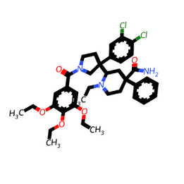 CCOc1cc(C(=O)N2CCC(c3ccc(Cl)c(Cl)c3)(C3CC(C(N)=O)(c4ccccc4)CCN3CC)C2)cc(OCC)c1OCC